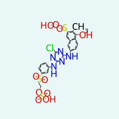 Cc1c(SOOO)cc2cc(Nc3nc(Cl)nc(Nc4cccc(S(=O)(=O)CCOS(=O)(=O)O)c4)n3)ccc2c1O